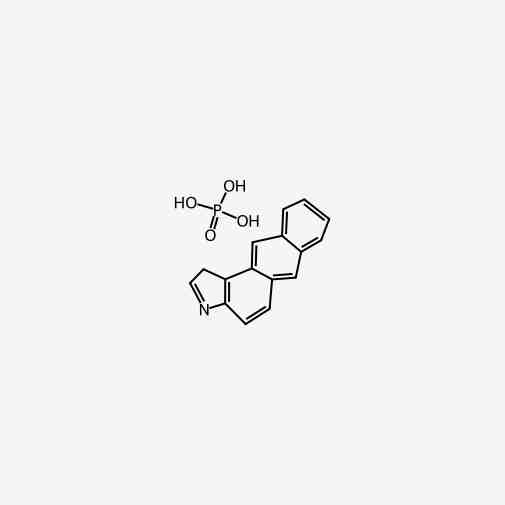 C1=Nc2ccc3cc4ccccc4cc3c2C1.O=P(O)(O)O